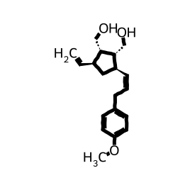 C=C[C@@H]1C[C@H](/C=C\Cc2ccc(OC)cc2)[C@@H](CO)[C@H]1CO